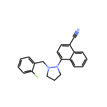 N#Cc1ccc(N2CCCN2Cc2ccccc2F)c2ccccc12